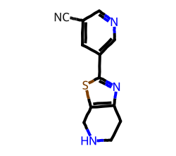 N#Cc1cncc(-c2nc3c(s2)CNCC3)c1